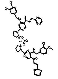 COc1ccc(CNc2nc(N3CCC[C@@H]3OP(C)(=O)O[C@H]3CCCN3c3ncc(C(=O)N=Cc4ncccn4)c(NCc4ccc(OC)c(Cl)c4)n3)ncc2C(=O)N=Cc2ncccn2)cc1Cl